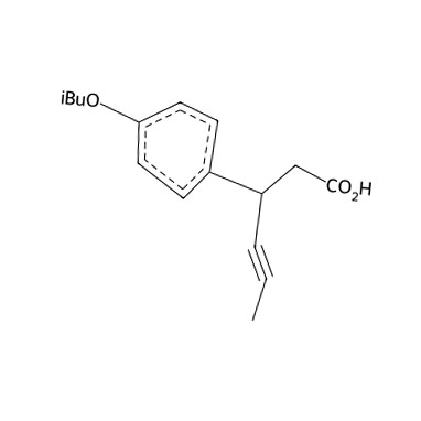 CC#CC(CC(=O)O)c1ccc(OCC(C)C)cc1